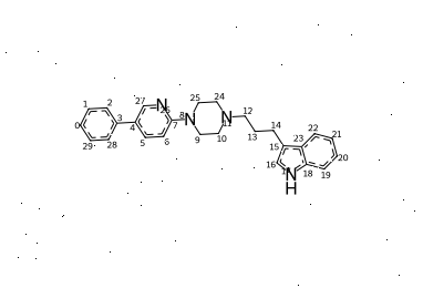 c1ccc(-c2ccc(N3CCN(CCCc4c[nH]c5ccccc45)CC3)nc2)cc1